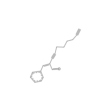 C#CCCCCC#CC(C=O)=Cc1ccccc1